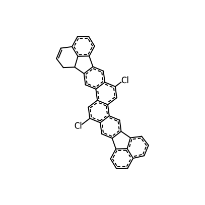 Clc1cc2c3cc4c(cc3c(Cl)cc2c2cc3c(cc12)-c1cccc2cccc-3c12)-c1cccc2c1C4CC=C2